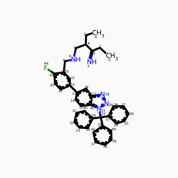 CCC(=N)C(CC)CNCc1cc(-c2ccc3c(c2)nnn3C(c2ccccc2)(c2ccccc2)c2ccccc2)ccc1F